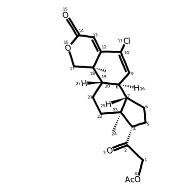 CC(=O)OCC(=O)[C@H]1CC[C@H]2[C@@H]3C=C(Cl)C4=CC(=O)OC[C@]4(C)[C@H]3CC[C@]12C